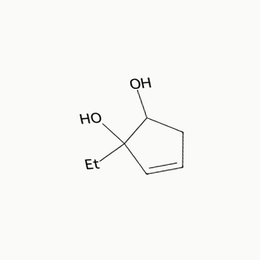 CCC1(O)C=CCC1O